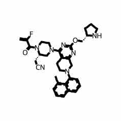 C=C(F)C(=O)N1CCN(c2nc(OC[C@@H]3CCCN3)nc3c2CCN(c2cccc4cccc(C)c24)C3)C[C@@H]1CC#N